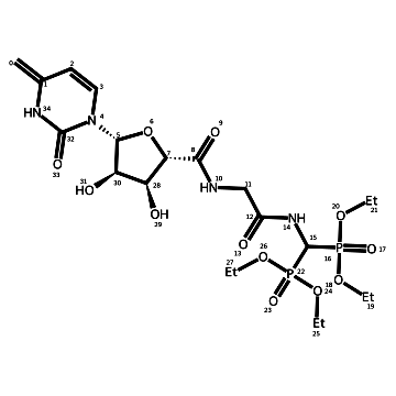 C=C1C=CN([C@@H]2O[C@H](C(=O)NCC(=O)NC(P(=O)(OCC)OCC)P(=O)(OCC)OCC)[C@@H](O)[C@H]2O)C(=O)N1